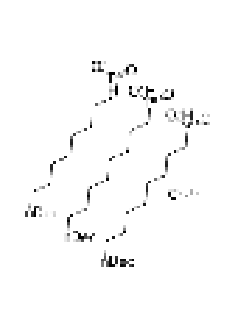 CCCCCCCCCCCCCCCCCC[PH](=O)[O-].CCCCCCCCCCCCCCCCCC[PH](=O)[O-].CCCCCCCCCCCCCCCCCC[PH](=O)[O-].[Cr+3]